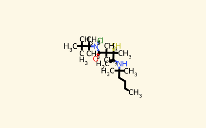 C=C(NC(C)(C)CCCC)C(C)(S)C(C)(C)C(=O)N(Cl)C(C)(C)C(C)(C)C